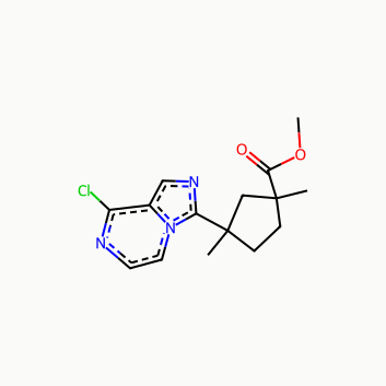 COC(=O)C1(C)CCC(C)(c2ncc3c(Cl)nccn23)C1